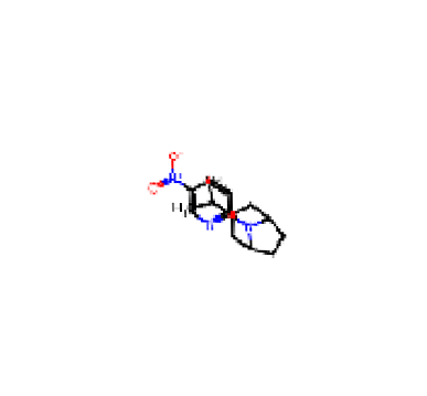 CC(C)C1CC2CCC(C1)N2c1ccc([N+](=O)[O-])cn1